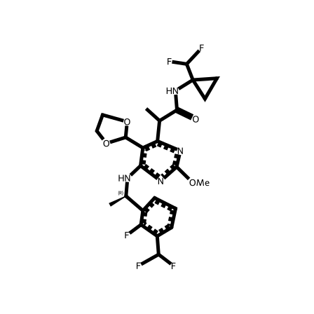 COc1nc(N[C@H](C)c2cccc(C(F)F)c2F)c(C2OCCO2)c(C(C)C(=O)NC2(C(F)F)CC2)n1